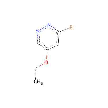 CCOc1cnnc(Br)c1